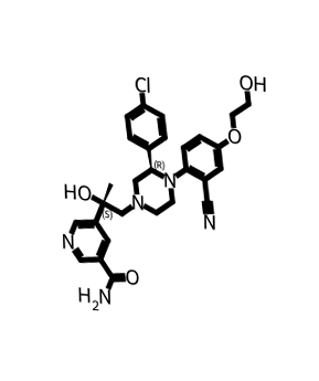 C[C@@](O)(CN1CCN(c2ccc(OCCO)cc2C#N)[C@H](c2ccc(Cl)cc2)C1)c1cncc(C(N)=O)c1